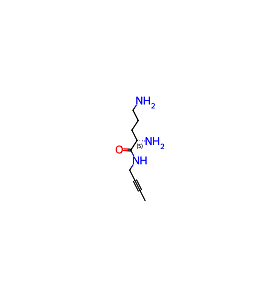 CC#CCNC(=O)[C@@H](N)CCCN